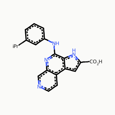 CC(C)c1cccc(Nc2nc3cnccc3c3cc(C(=O)O)[nH]c23)c1